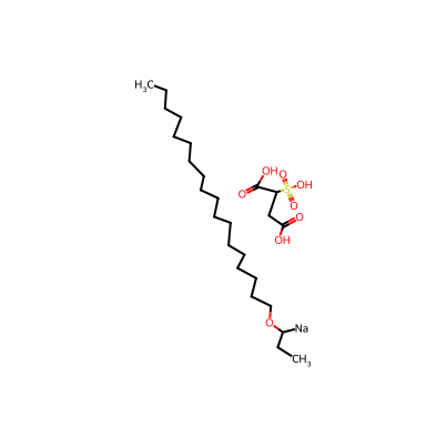 CCCCCCCCCCCCCCCCCCO[CH]([Na])CC.O=C(O)CC(C(=O)O)S(=O)(=O)O